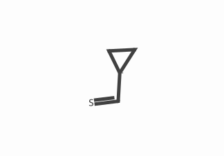 S=C[C]1CC1